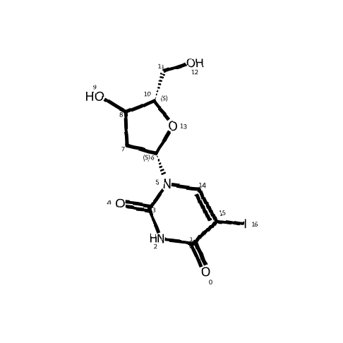 O=c1[nH]c(=O)n([C@@H]2CC(O)[C@H](CO)O2)cc1I